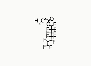 C=CC(=O)OC(F)C(F)(F)C(F)(F)C(F)(F)C(F)C(F)C(F)F